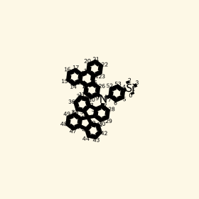 C[Si](C)(C)c1ccc(N(c2ccc3c4ccccc4c4ccccc4c3c2)c2cccc3c2-c2ccccc2C32c3ccccc3-c3ccccc32)cc1